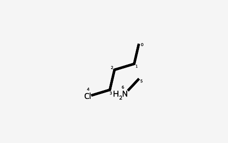 CCCCCl.CN